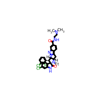 CCN1[C@H]2Cc3c4ccc(C(=O)NCCN(C)C)cc4nn3[C@H]2[C@H](c2cccc(Cl)c2F)[C@]12C(=O)Nc1cc(Cl)ccc12